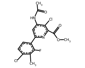 COC(=O)c1nc(-c2ccc(Cl)c(C)c2F)cc(NC(C)=O)c1Cl